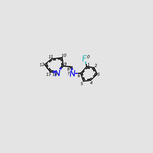 Fc1ccccc1/N=C/c1ccccn1